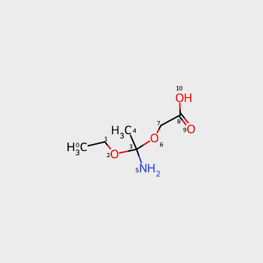 CCOC(C)(N)OCC(=O)O